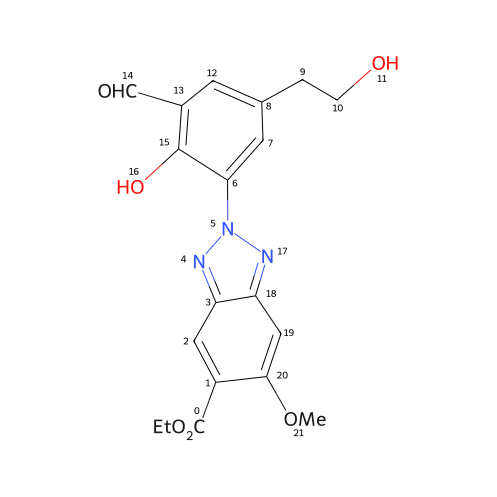 CCOC(=O)c1cc2nn(-c3cc(CCO)cc(C=O)c3O)nc2cc1OC